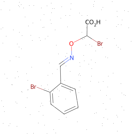 O=C(O)C(Br)ON=Cc1ccccc1Br